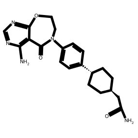 NC(=O)C[C@H]1CC[C@H](c2ccc(N3CCOc4ncnc(N)c4C3=O)cc2)CC1